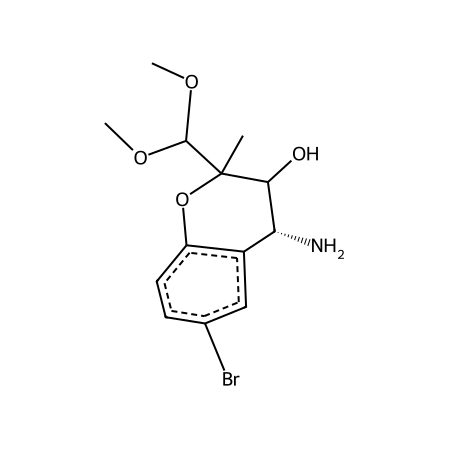 COC(OC)C1(C)Oc2ccc(Br)cc2[C@@H](N)C1O